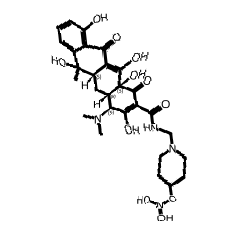 CN(C)[C@@H]1C(O)=C(C(=O)NCN2CCC(ON(O)O)CC2)C(=O)[C@@]2(O)C(O)=C3C(=O)c4c(O)cccc4C(C)(O)[C@H]3C[C@@H]12